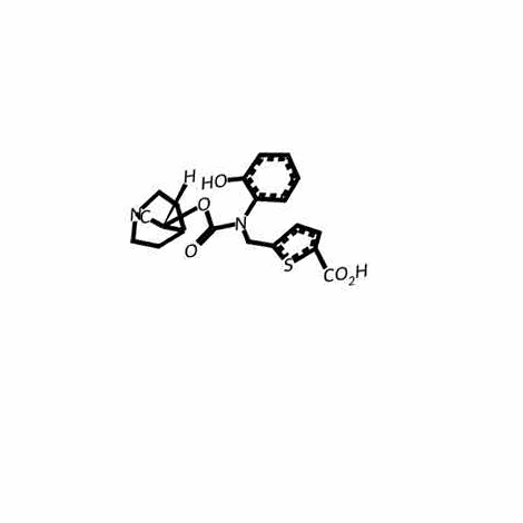 O=C(O)c1ccc(CN(C(=O)O[C@H]2CN3CCC2CC3)c2ccccc2O)s1